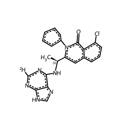 [2H]c1nc(N[C@@H](C)c2cc3cccc(Cl)c3c(=O)n2-c2ccccc2)c2nc[nH]c2n1